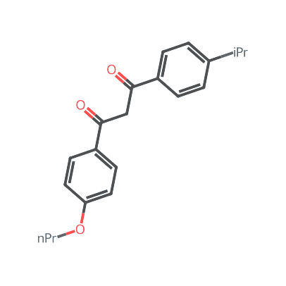 CCCOc1ccc(C(=O)CC(=O)c2ccc(C(C)C)cc2)cc1